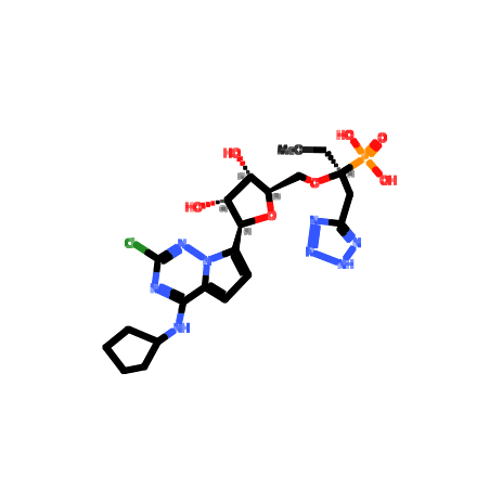 COC[C@](Cc1nn[nH]n1)(OC[C@H]1O[C@@H](c2ccc3c(NC4CCCC4)nc(Cl)nn23)[C@H](O)[C@@H]1O)P(=O)(O)O